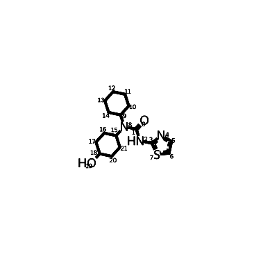 O=C(Nc1nccs1)N(C1CCCCC1)C1CCC(O)CC1